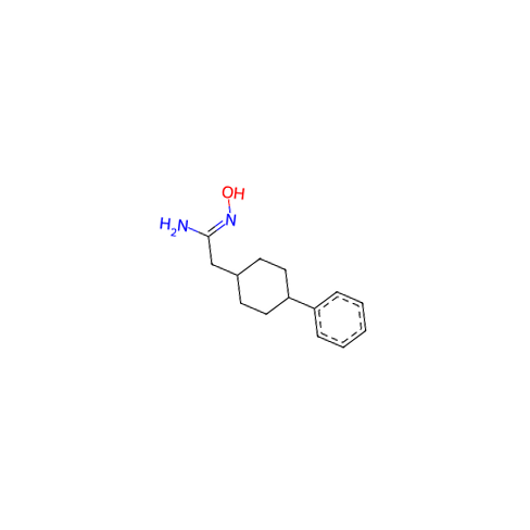 NC(CC1CCC(c2ccccc2)CC1)=NO